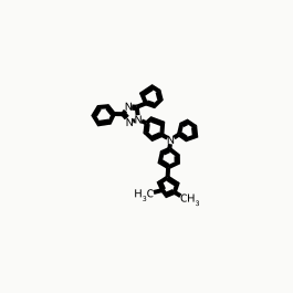 Cc1cc(C)cc(-c2ccc(N(c3ccccc3)c3ccc(-n4nc(-c5ccccc5)nc4-c4ccccc4)cc3)cc2)c1